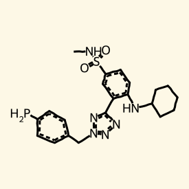 CNS(=O)(=O)c1ccc(NC2CCCCC2)c(-c2nnn(Cc3ccc(P)cc3)n2)c1